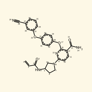 C=CC(=O)NC1CCN(c2ccc(C(N)=O)c(Oc3ccc(Oc4cccc(C#N)c4)cc3)n2)C1